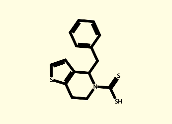 S=C(S)N1CCc2sccc2C1Cc1ccccc1